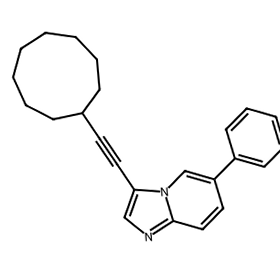 C(#CC1CCCCCCCC1)c1cnc2ccc(-c3ccccc3)cn12